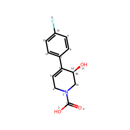 O=C(O)N1CC=C(c2ccc(F)cc2)[C@@H](O)C1